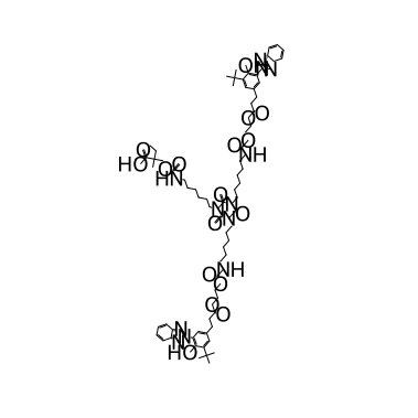 CCC(C)(COC(=O)NCCCCCCn1c(=O)n(CCCCCCNC(=O)OCCOC(=O)CCc2cc(-n3nc4ccccc4n3)c(O)c(C(C)(C)C)c2)c(=O)n(CCCCCCNC(=O)OCCOC(=O)CCc2cc(-n3nc4ccccc4n3)c(O)c(C(C)(C)C)c2)c1=O)C(=O)O